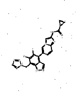 O=C(Nc1cn2cc(-c3c(Cl)c(F)c(Cn4ncnn4)c4[nH]ncc34)ccc2n1)C1CC1